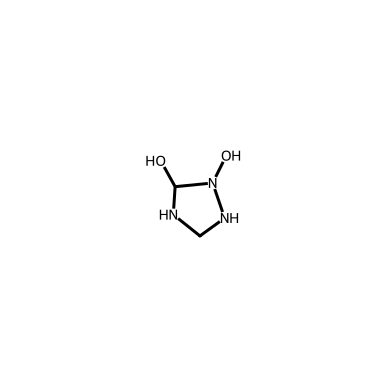 OC1NCNN1O